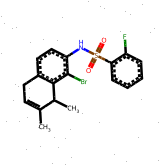 CC1=CCc2ccc(NS(=O)(=O)c3ccccc3F)c(Br)c2C1C